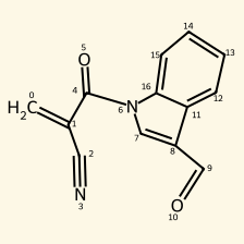 C=C(C#N)C(=O)n1cc(C=O)c2ccccc21